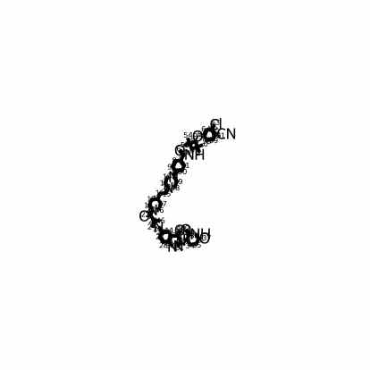 CC1(C)[C@H](NC(=O)c2ccc(N3CCN(CCC4CCN(C(=O)C5CN(c6ccc7nnn(C8CCC(=O)NC8=O)c(=O)c7c6)C5)CC4)CC3)cc2)C(C)(C)[C@H]1Oc1ccc(C#N)c(Cl)c1